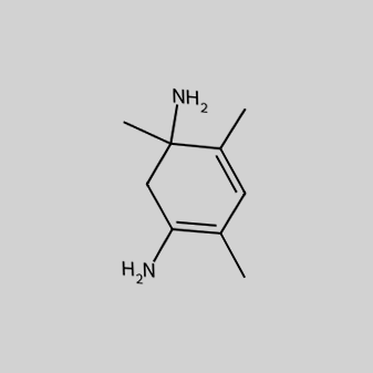 CC1=CC(C)=C(N)CC1(C)N